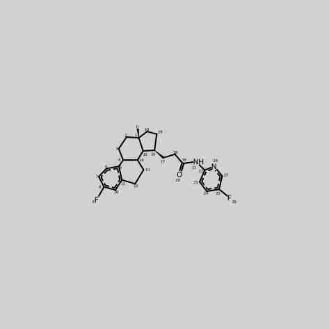 C[C@]12CCC3c4ccc(F)cc4CCC3C1[C@H](CCC(=O)Nc1ccc(F)cn1)CC2